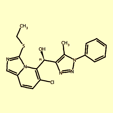 CCSc1ncc2ccc(Cl)c([C@@H](O)c3nnn(-c4ccccc4)c3C)n12